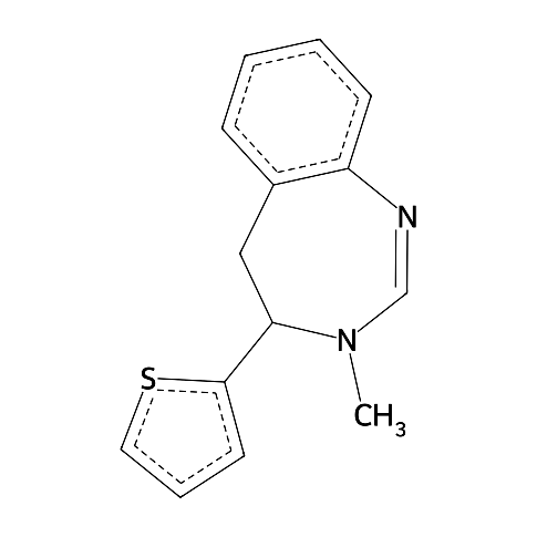 CN1C=Nc2ccccc2CC1c1cccs1